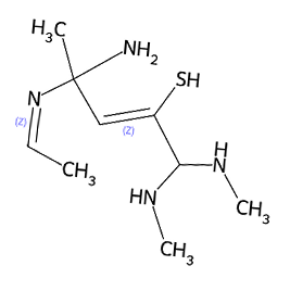 C/C=N\C(C)(N)/C=C(\S)C(NC)NC